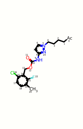 CC(=O)CCCCn1ccc(NC(=O)OCc2c(Cl)ccc(C)c2F)n1